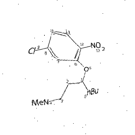 CCCCC(CCNC)Oc1cc(Cl)ccc1[N+](=O)[O-]